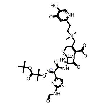 CC(C)(C)OC(=O)C(C)(C)O/N=C(/C(=O)N[C@@H]1C(=O)N2C(C(=O)[O-])=C(C[N+](C)(C)CCc3cc(=O)c(O)c[nH]3)CS[C@H]12)c1csc(NC=O)n1